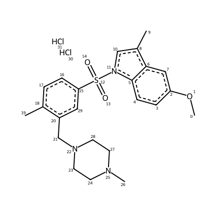 COc1ccc2c(c1)c(C)cn2S(=O)(=O)c1ccc(C)c(CN2CCN(C)CC2)c1.Cl.Cl